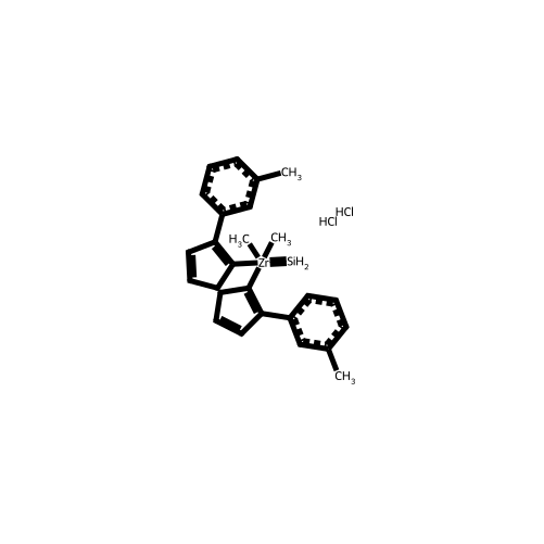 Cc1cccc(C2=[C]([Zr]([CH3])([CH3])(=[SiH2])[C]3=C(c4cccc(C)c4)C=CC3)CC=C2)c1.Cl.Cl